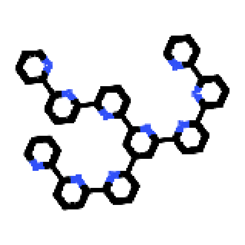 c1ccc(-c2cccc(-c3cccc(-c4cc(-c5cccc(-c6cccc(-c7ccccn7)n6)n5)nc(-c5cccc(-c6cccc(-c7ccccn7)n6)n5)c4)n3)n2)nc1